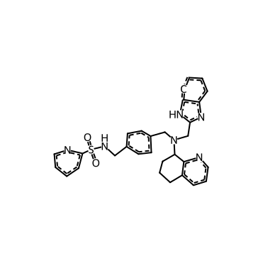 O=S(=O)(NCc1ccc(CN(Cc2nc3ccccc3[nH]2)C2CCCc3cccnc32)cc1)c1ccccn1